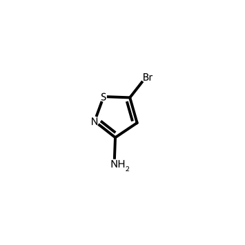 Nc1cc(Br)sn1